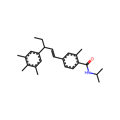 CCC(/C=C/c1ccc(C(=O)NC(C)C)c(C)c1)c1cc(C)c(C)c(C)c1